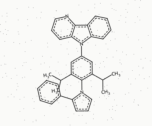 CC(C)c1cc(-n2c3ccccc3c3ncccc32)cc(C(C)C)c1-n1cccc1-c1ccccc1